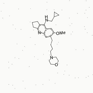 COc1cc2c(NCC3CC3)c3c(nc2cc1CCCCN1CCOCC1)CCC3